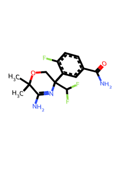 CC1(C)OCC(c2cc(C(N)=O)ccc2F)(C(F)F)N=C1N